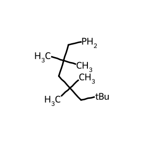 CC(C)(C)CC(C)(C)CC(C)(C)CP